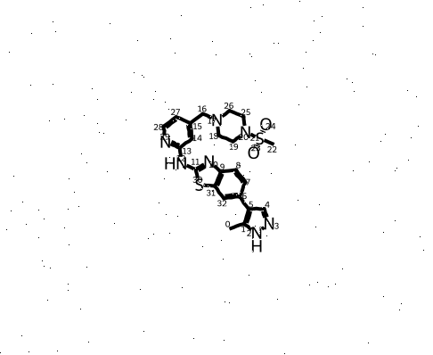 Cc1[nH]ncc1-c1ccc2nc(Nc3cc(CN4CCN(S(C)(=O)=O)CC4)ccn3)sc2c1